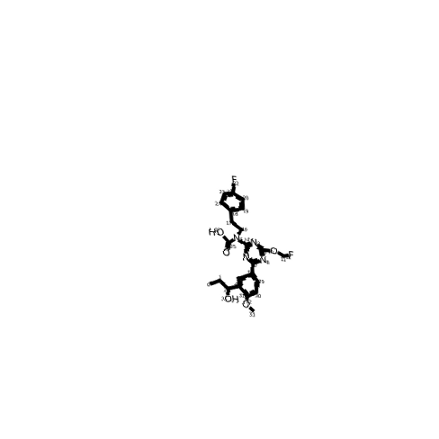 CCC(O)c1cc(-c2nc(OCF)nc(N(CCc3ccc(F)cc3)C(=O)O)n2)ccc1OC